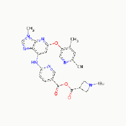 Cc1cc(C#N)ncc1Oc1cc(Nc2ccc(C(=O)OC(=O)C3CN(C(C)(C)C)C3)cn2)c2ncn(C)c2n1